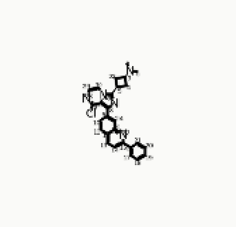 CN(C)[C@H]1C[C@@H](c2nc(-c3ccc4ccc(-c5ccccc5)nc4c3)c3c(Cl)nccn32)C1